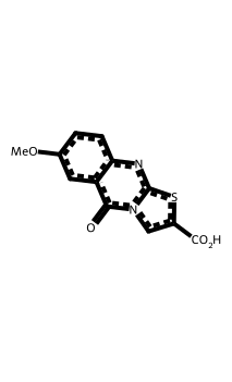 COc1ccc2nc3sc(C(=O)O)cn3c(=O)c2c1